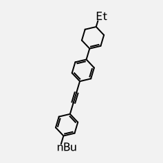 CCCCc1ccc(C#Cc2ccc(C3=CCC(CC)CC3)cc2)cc1